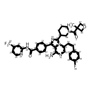 CC1(C(=O)N2CCCC(c3nc(-c4ccc(C(=O)Nc5cc(C(F)(F)F)ccn5)cc4)c4c(N)ncc(C=Cc5ccc(F)cc5)n34)C2)COC1